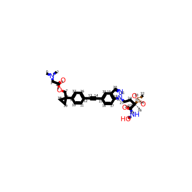 CN(C)CC(=O)OCC1(c2ccc(C#Cc3ccc4c(cnn4CC[C@](C)(C(=O)NO)S(C)(=O)=O)c3)cc2)CC1